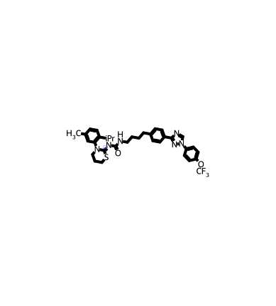 Cc1ccc(C(C)C)c(N2CCCS/C2=N\C(=O)NCCCCc2ccc(-c3ncn(-c4ccc(OC(F)(F)F)cc4)n3)cc2)c1